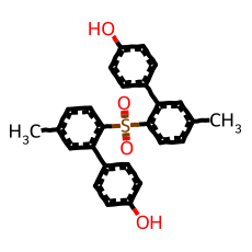 Cc1ccc(S(=O)(=O)c2ccc(C)cc2-c2ccc(O)cc2)c(-c2ccc(O)cc2)c1